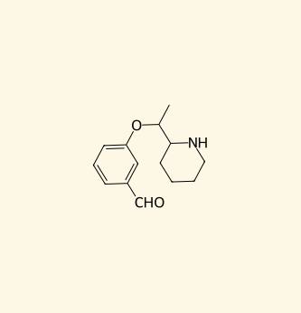 CC(Oc1cccc(C=O)c1)C1CCCCN1